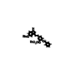 CCOC(=O)O[C@H]1CN(CCc2c[nH]c3ccc(OC)cc23)CC[C@@H]1OCc1ccccc1